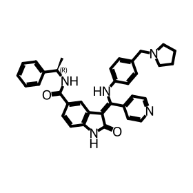 C[C@@H](NC(=O)c1ccc2c(c1)C(=C(Nc1ccc(CN3CCCC3)cc1)c1ccncc1)C(=O)N2)c1ccccc1